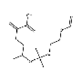 C=COCCOC(C)(C)OC(C)CCC(=C)C(=O)O